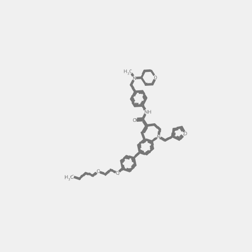 CCCCOCCOc1ccc(-c2ccc3c(c2)C=C(C(=O)Nc2ccc(CN(C)C4CCOCC4)cc2)CCN3Cc2ccoc2)cc1